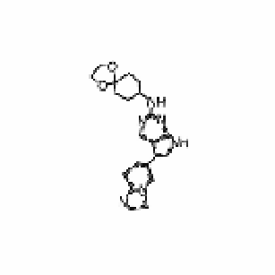 c1cn2cc(-c3c[nH]c4nc(NC5CCC6(CC5)OCCO6)ncc34)ccc2n1